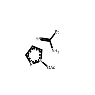 CC(=O)On1cccn1.CCC(=N)N